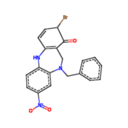 O=C1C2=C(C=CC1Br)Nc1ccc([N+](=O)[O-])cc1N(Cc1ccccc1)C2